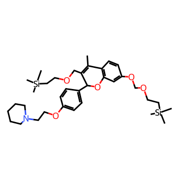 CC1=C(COCC[Si](C)(C)C)C(c2ccc(OCCN3CCCCC3)cc2)Oc2cc(OCOCC[Si](C)(C)C)ccc21